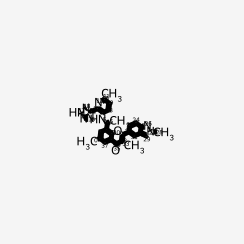 Cc1cc(C(C)Nc2ccc(C)nc2-c2nn[nH]n2)c2oc(-c3ccc4nn(C)cc4c3)c(C)c(=O)c2c1